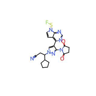 N#CCC(C1CCCC1)n1cc(-c2ncnc3c2ccn3SF)c(N2C(=O)CCC2=O)n1